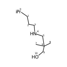 CC(C)CCCNCC(C)(C)CO